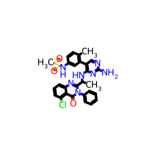 Cc1ccc(NS(C)(=O)=O)cc1-c1cnc(N)nc1NC(C)c1nc2cccc(Cl)c2c(=O)n1-c1ccccc1